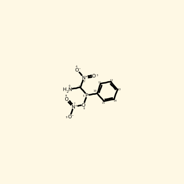 NC([N+](=O)[O-])P(O[N+](=O)[O-])c1ccccc1